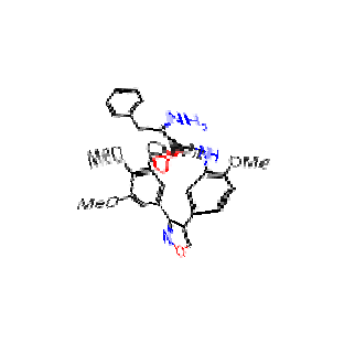 COc1ccc(-c2conc2-c2cc(OC)c(OC)c(OC)c2)cc1NC(=O)C(N)Cc1ccccc1